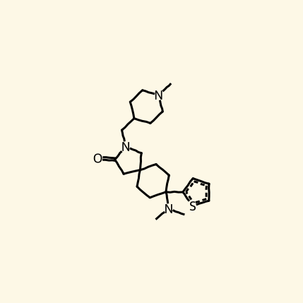 CN1CCC(CN2CC3(CCC(c4cccs4)(N(C)C)CC3)CC2=O)CC1